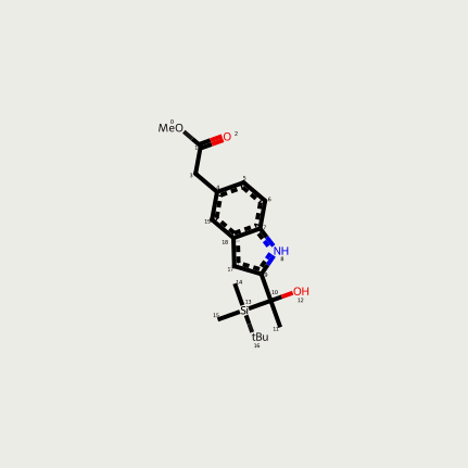 COC(=O)Cc1ccc2[nH]c(C(C)(O)[Si](C)(C)C(C)(C)C)cc2c1